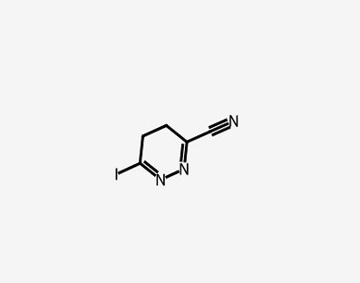 N#CC1=NN=C(I)CC1